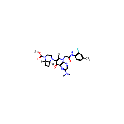 CCc1c(N2CCN(C(=O)OC(C)(C)C)[C@H]3CC[C@@H]32)c(=O)c2nc(N(C)C)cnc2n1CC(=O)Nc1ccc(C(F)(F)F)cc1F